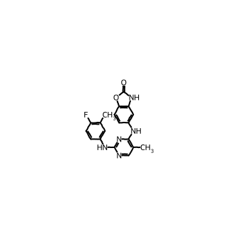 Cc1cc(Nc2ncc(C)c(Nc3ccc4oc(=O)[nH]c4c3)n2)ccc1F